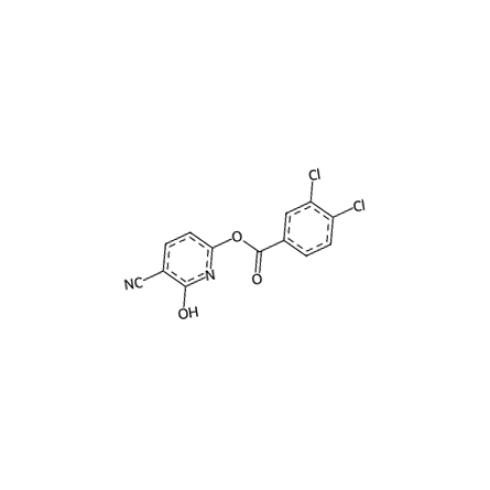 N#Cc1ccc(OC(=O)c2ccc(Cl)c(Cl)c2)nc1O